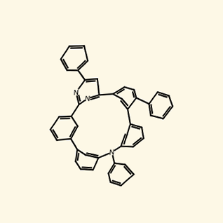 c1ccc(-c2cc3nc(n2)-c2cccc(c2)-c2cccc(c2)N(c2ccccc2)c2cccc(c2)-c2cc-3ccc2-c2ccccc2)cc1